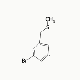 CSCc1c[c]cc(Br)c1